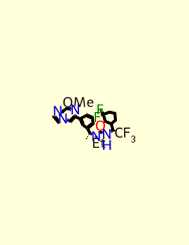 CCN(C(=O)N[C@@H](C1CCCC(F)(F)C1)C(F)(F)F)[C@H](C)c1cccc(-c2cn3ccnc3c(OC)n2)c1